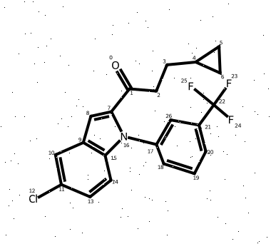 O=C(CCC1CC1)c1cc2cc(Cl)ccc2n1-c1cccc(C(F)(F)F)c1